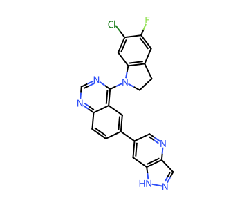 Fc1cc2c(cc1Cl)N(c1ncnc3ccc(-c4cnc5cn[nH]c5c4)cc13)CC2